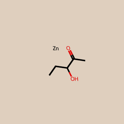 CCC(O)C(C)=O.[Zn]